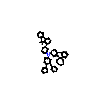 CC1(C)c2ccccc2-c2cccc(-c3cccc(N(c4ccc(-c5ccccc5)c(-c5ccccc5)c4)c4ccc5c(c4)C4(CCCCC4)c4ccccc4-5)c3)c21